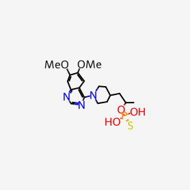 COc1cc2ncnc(N3CCC(CC(C)OP(O)(O)=S)CC3)c2cc1OC